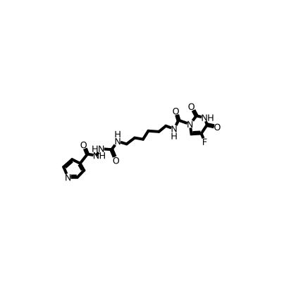 O=C(NCCCCCCNC(=O)n1cc(F)c(=O)[nH]c1=O)NNC(=O)c1ccncc1